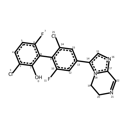 Oc1c(Cl)ccc(F)c1-c1c(F)cc(-c2cnc3n2CCN=C3)cc1Cl